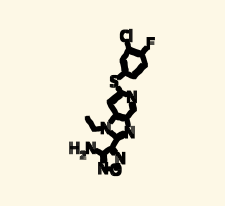 CCn1c(-c2nonc2N)nc2cnc(Sc3ccc(F)c(Cl)c3)cc21